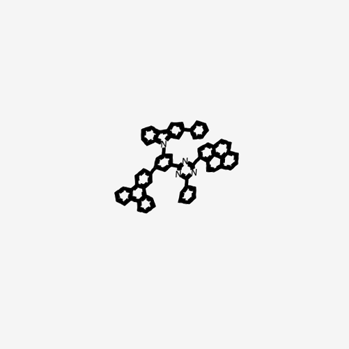 c1ccc(-c2ccc3c4ccccc4n(-c4cc(-c5ccc6c7ccccc7c7ccccc7c6c5)cc(-c5nc(-c6ccccc6)nc(-c6ccc7ccc8cccc9ccc6c7c89)n5)c4)c3c2)cc1